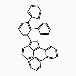 c1ccc(-c2ccccc2-c2sc(-c3cccc(-c4ccccc4)c3-c3ccccc3)c3ccccc23)cc1